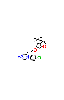 O=CC1C=COc2cc(OCCCC3CNCCN3c3ccc(Cl)cc3)ccc21